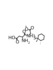 COC(=O)[C@H](CS[C@]1(C)CCCC[C@@H]1C)NC(=O)[C@@H](N)CC(=O)O